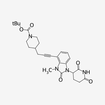 Cn1c(=O)n(C2CCC(=O)NC2=O)c2cccc(C#CCC3CCN(C(=O)OC(C)(C)C)CC3)c21